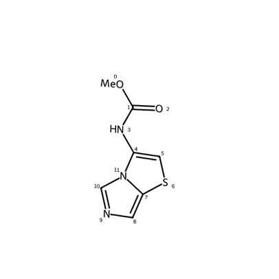 COC(=O)Nc1csc2cncn12